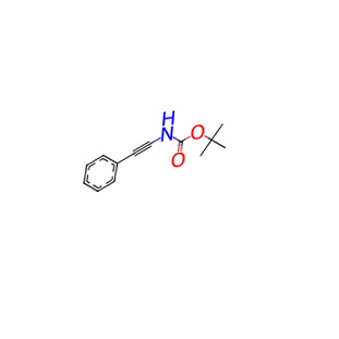 CC(C)(C)OC(=O)NC#Cc1ccccc1